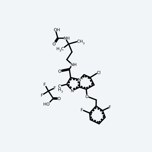 Cc1nc2c(OCc3c(F)cccc3F)cc(Cl)cn2c1C(=O)NCCC(C)(C)NC(=O)O.O=C(O)C(F)(F)F